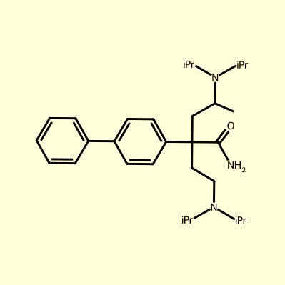 CC(C)N(CCC(CC(C)N(C(C)C)C(C)C)(C(N)=O)c1ccc(-c2ccccc2)cc1)C(C)C